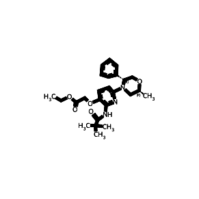 CCOC(=O)COc1ccc(N2C[C@@H](C)OC[C@H]2c2ccccc2)nc1NC(=O)C(C)(C)C